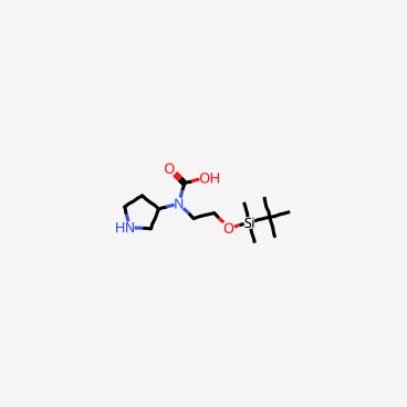 CC(C)(C)[Si](C)(C)OCCN(C(=O)O)C1CCNC1